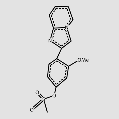 COc1cc(OS(C)(=O)=O)ccc1-c1cn2ccccc2n1